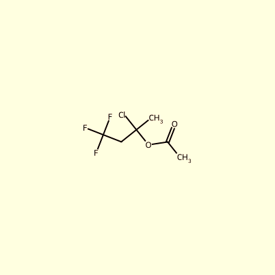 CC(=O)OC(C)(Cl)CC(F)(F)F